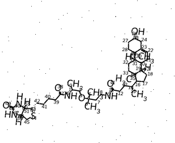 CC(COC(C)(C)CCNC(=O)CCC(C)C1CC[C@H]2C3CC=C4C[C@@H](O)CC[C@]4(C)[C@H]3CC[C@]12C)NC(=O)CCCC[C@@H]1SC[C@@H]2NC(=O)N[C@@H]21